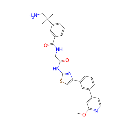 COc1cc(-c2cccc(-c3csc(NC(=O)CNC(=O)c4cccc(C(C)(C)CN)c4)n3)c2)ccn1